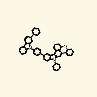 c1ccc(-c2ccc3c4ccccc4n(-c4ccc(-c5ccc6c(c5)c5c7cccc8c7c(cc5n6-c5ccccc5)-c5ccccc5O8)cc4)c3c2)cc1